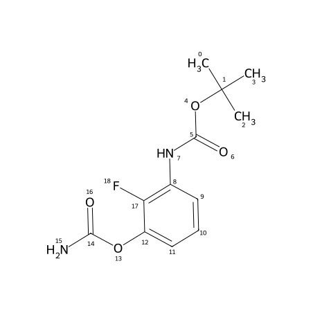 CC(C)(C)OC(=O)Nc1cccc(OC(N)=O)c1F